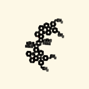 C=Cc1ccc(C2(c3ccc(C=C)cc3)c3ccccc3-c3c(N(c4ccc5c(c4)C(CCCCCCCC)(CCCCCCCC)c4cc6c(cc4-5)C(CCCCCCCC)(CCCCCCCC)c4cc(N(c5ccccc5-c5ccccc5)c5cccc7c5-c5ccccc5C7(c5ccc(C=C)cc5)c5ccc(C=C)cc5)ccc4-6)c4ccccc4-c4ccccc4)cccc32)cc1